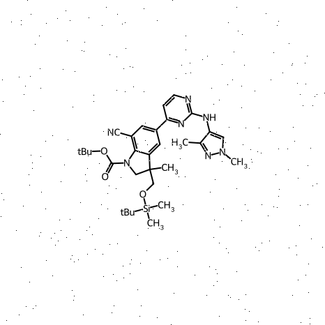 Cc1nn(C)cc1Nc1nccc(-c2cc(C#N)c3c(c2)C(C)(CO[Si](C)(C)C(C)(C)C)CN3C(=O)OC(C)(C)C)n1